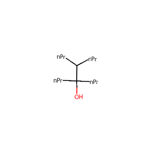 CCCC(CCC)C(O)(CCC)CCC